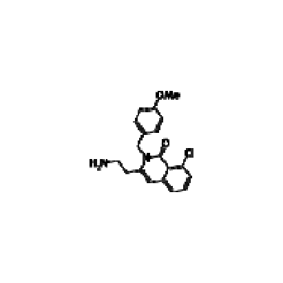 COc1ccc(Cn2c(CCN)cc3cccc(Cl)c3c2=O)cc1